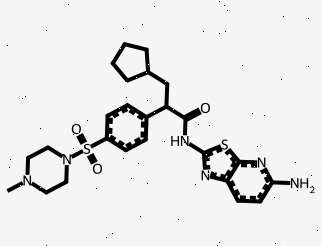 CN1CCN(S(=O)(=O)c2ccc(C(CC3CCCC3)C(=O)Nc3nc4ccc(N)nc4s3)cc2)CC1